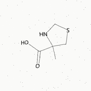 CC1(C(=O)O)CSCN1